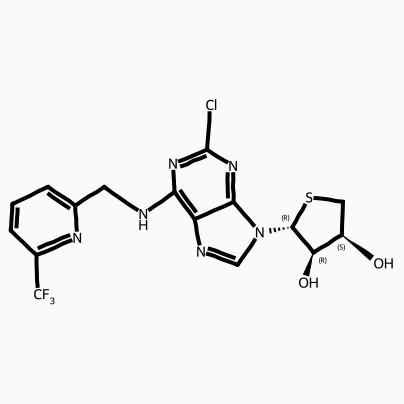 O[C@@H]1[C@H](O)CS[C@H]1n1cnc2c(NCc3cccc(C(F)(F)F)n3)nc(Cl)nc21